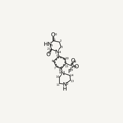 O=C1CCN(c2ccc(N3CCNCC3)c(S(=O)(=O)F)c2)C(=O)N1